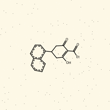 CCC(=O)C1=C(O)CC(c2cccc3ccccc23)CC1=O